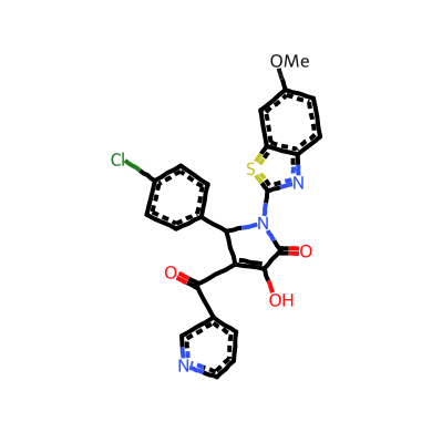 COc1ccc2nc(N3C(=O)C(O)=C(C(=O)c4cccnc4)C3c3ccc(Cl)cc3)sc2c1